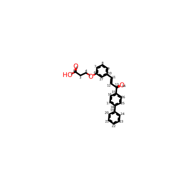 O=C(O)CCOc1cccc(/C=C/C(=O)c2ccc(-c3ccccc3)cc2)c1